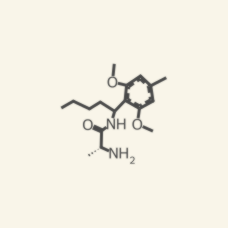 CCCCC(NC(=O)[C@@H](C)N)c1c(OC)cc(C)cc1OC